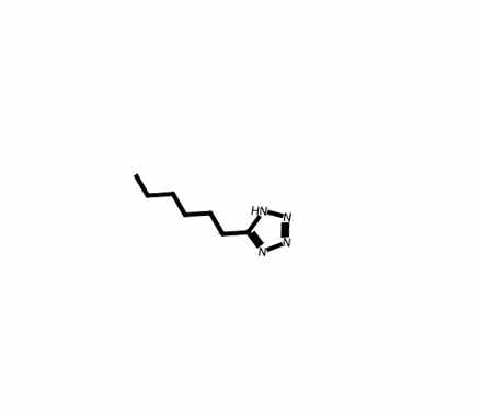 CCCCC[CH]c1nnn[nH]1